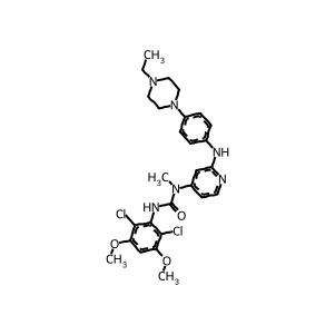 CCN1CCN(c2ccc(Nc3cc(N(C)C(=O)Nc4c(Cl)c(OC)cc(OC)c4Cl)ccn3)cc2)CC1